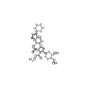 COC(=O)c1c(N2CC[C@H](CO)[C@@H](O)C2)sc(-c2ccc3c(c2)ncn3C2CCCCC2)c1[N+](=O)[O-]